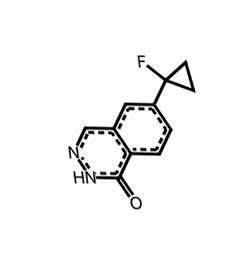 O=c1[nH]ncc2cc(C3(F)CC3)ccc12